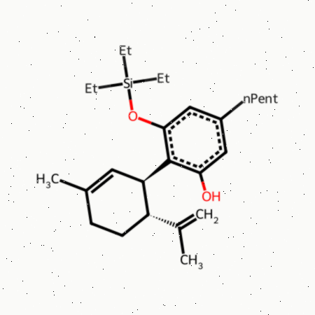 C=C(C)[C@@H]1CCC(C)=C[C@H]1c1c(O)cc(CCCCC)cc1O[Si](CC)(CC)CC